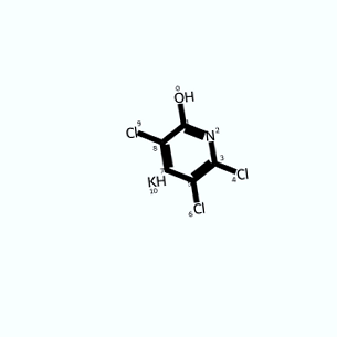 Oc1nc(Cl)c(Cl)cc1Cl.[KH]